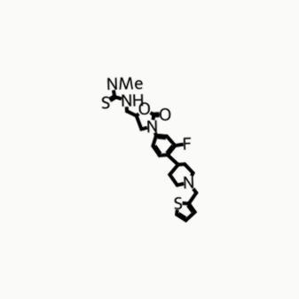 CNC(=S)NCC1CN(c2ccc(C3CCN(Cc4cccs4)CC3)c(F)c2)C(=O)O1